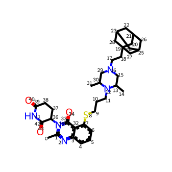 Cc1nc2cccc(SCCCN3C(C)CN(CCC45CC6CC(CC(C6)C4)C5)CC3C)c2c(=O)n1C1CCC(=O)NC1=O